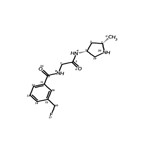 C[C@H]1C[C@@H](NC(=O)CNC(=O)c2cccc(CF)c2)CN1